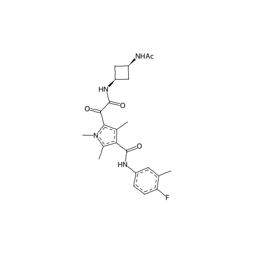 CC(=O)N[C@H]1C[C@@H](NC(=O)C(=O)c2c(C)c(C(=O)Nc3ccc(F)c(C)c3)c(C)n2C)C1